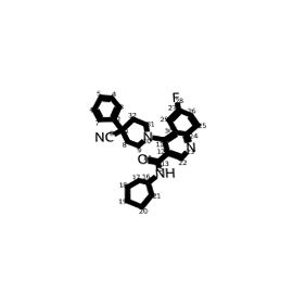 N#CC1(c2ccccc2)CCN(c2c(C(=O)NC3CCCCC3)cnc3ccc(F)cc23)CC1